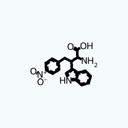 NC(C(=O)O)C(Cc1ccc([N+](=O)[O-])cc1)c1c[nH]c2ccccc12